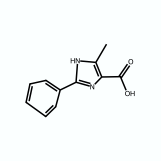 Cc1[nH]c(-c2ccccc2)nc1C(=O)O